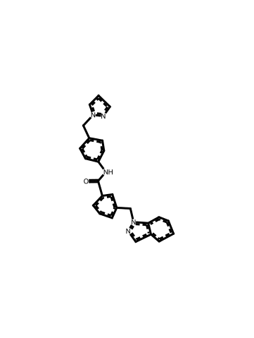 O=C(Nc1ccc(Cn2cccn2)cc1)c1cccc(Cn2ncc3ccccc32)c1